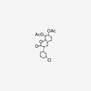 CC(=O)Oc1ccc2cc(-c3cccc(Cl)c3)c(=O)oc2c1OC(C)=O